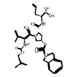 C=C(C)[C@H](NC(=O)OCC(C)C)C(=O)N1C[C@H](OC(=O)N2Cc3ccccc3C2)C[C@H]1C(=O)N[C@@H](CCC)B(O)O